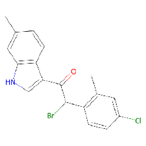 Cc1ccc2c(C(=O)C(Br)c3ccc(Cl)cc3C)c[nH]c2c1